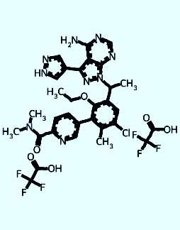 CCOc1c(C(C)n2nc(-c3cn[nH]c3)c3c(N)ncnc32)cc(Cl)c(C)c1-c1ccc(C(=O)N(C)C)nc1.O=C(O)C(F)(F)F.O=C(O)C(F)(F)F